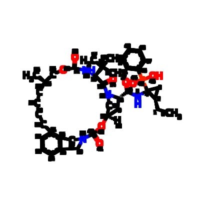 CC[C@@H]1C[C@]1(NC(=O)[C@@H]1C[C@@H]2CN1C(=O)[C@H](C(C)(C)C)NC(=O)OC[C@H](C)CCCCc1cccc3c1CN(C3)C(=O)O2)P(=O)(O)c1ccccc1